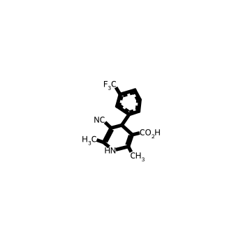 CC1=C(C#N)C(c2cccc(C(F)(F)F)c2)C(C(=O)O)=C(C)N1